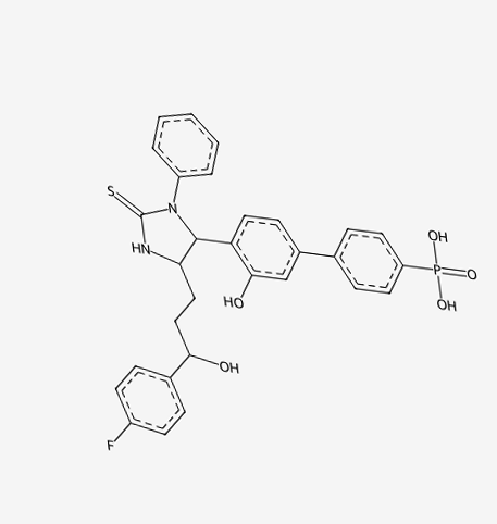 O=P(O)(O)c1ccc(-c2ccc(C3C(CCC(O)c4ccc(F)cc4)NC(=S)N3c3ccccc3)c(O)c2)cc1